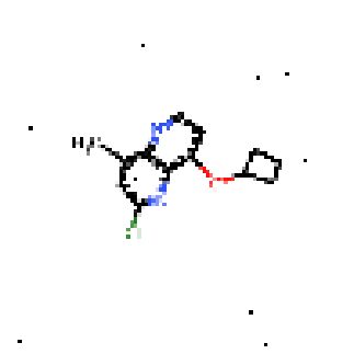 Cc1cc(Cl)nc2c(OC3CCC3)ccnc12